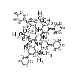 CC1(C)OC23c4c(c(C#N)c(N5c6ccc(-c7ccccc7)cc6C(C)(C)c6cc(-c7ccccc7)ccc65)c(C#N)c41)N1c4ccc(-c5ccccc5)cc4C(C)(C)c4cc(-c5ccccc5)c2c3c41